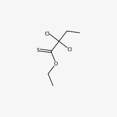 CCOC(=S)C(Cl)(Cl)CC